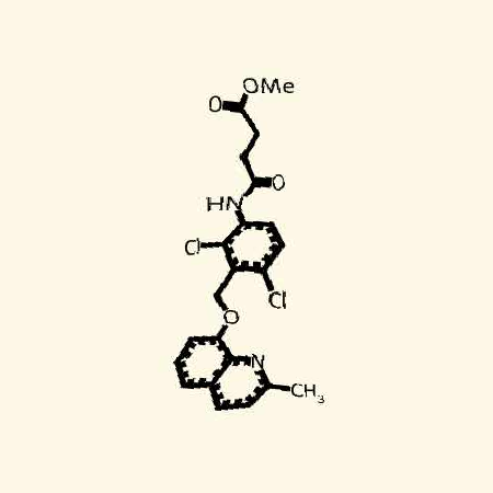 COC(=O)CCC(=O)Nc1ccc(Cl)c(COc2cccc3ccc(C)nc23)c1Cl